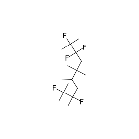 CC(CC(C)(F)C(C)(C)F)C(C)(C)CC(F)(F)C(C)(C)F